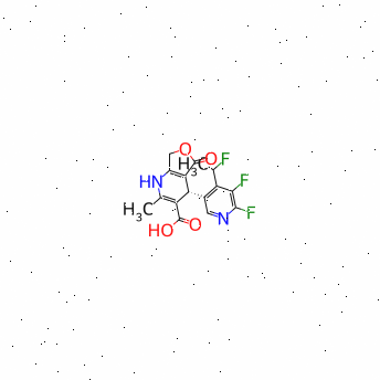 CC1=C(C(=O)O)[C@@H](c2cnc(F)c(F)c2C(C)F)C2=C(COC2=O)N1